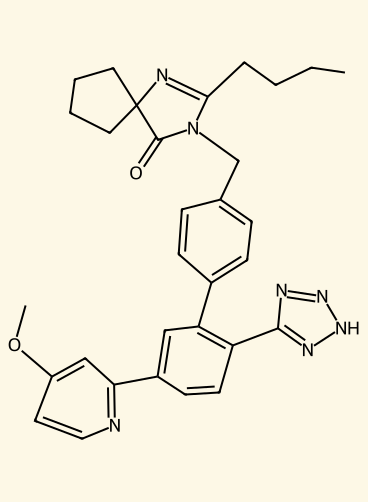 CCCCC1=NC2(CCCC2)C(=O)N1Cc1ccc(-c2cc(-c3cc(OC)ccn3)ccc2-c2nn[nH]n2)cc1